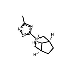 Cc1noc(N2C[C@H]3CC[C@@H](C2)[C@H]3N)n1